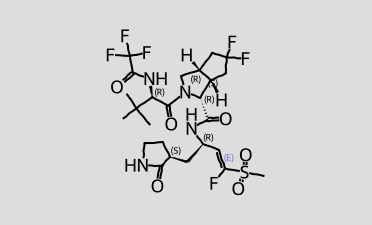 CC(C)(C)[C@@H](NC(=O)C(F)(F)F)C(=O)N1C[C@@H]2CC(F)(F)C[C@@H]2[C@@H]1C(=O)N[C@@H](/C=C(\F)S(C)(=O)=O)C[C@@H]1CCNC1=O